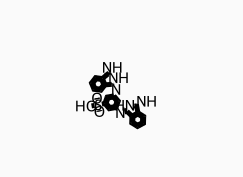 N=C1N/C(=N\c2cc(/N=C3/NC(=N)c4ccccc43)cc(S(=O)(=O)O)c2)c2ccccc21